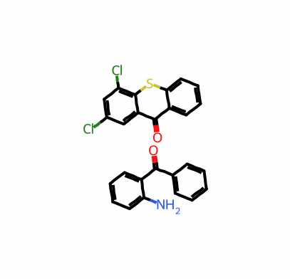 Nc1ccccc1C(=O)c1ccccc1.O=c1c2ccccc2sc2c(Cl)cc(Cl)cc12